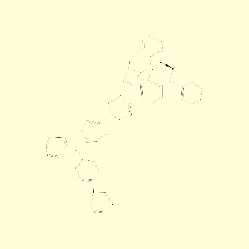 c1ccc(-c2ccc(N(c3ccccc3)c3ccc4c(c3)oc3cc(-c5ccc6c(c5)[Si]5(c7ccccc7Oc7ccccc75)c5ccccc5[SiH]6c5ccccc5)ccc34)cc2)cc1